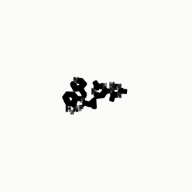 CC(=N)/N=C(/C)Nc1cc([C@@H]2C[C@H]2[C@H](F)N(Cc2ccncc2)c2ccccc2N)nc(C)n1